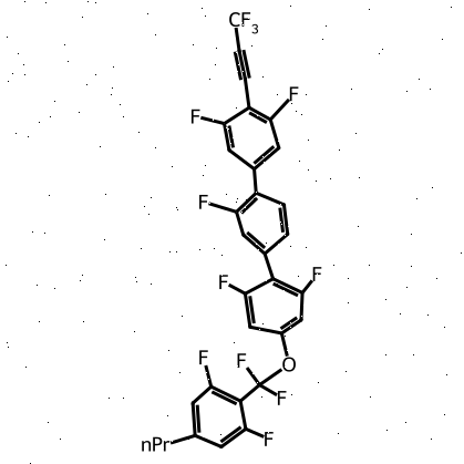 CCCc1cc(F)c(C(F)(F)Oc2cc(F)c(-c3ccc(-c4cc(F)c(C#CC(F)(F)F)c(F)c4)c(F)c3)c(F)c2)c(F)c1